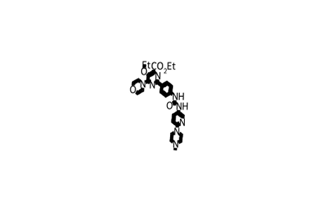 CCOC(=O)c1nc(-c2ccc(NC(=O)Nc3ccc(N4CCN(C)CC4)nc3)cc2)nc(N2CCOCC2)c1OCC